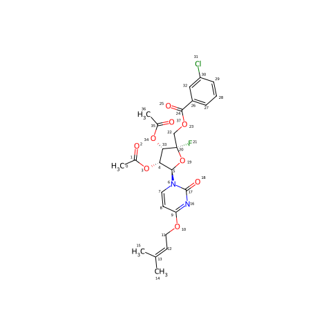 CC(=O)O[C@H]1[C@H](n2ccc(OCC=C(C)C)nc2=O)O[C@](F)(COC(=O)c2cccc(Cl)c2)[C@H]1OC(C)=O